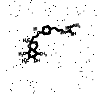 Cc1c(C)c2c(c(C)c1O)CCC(C)(CCOc1ccc(CCCNC(=N)NN)cc1)O2.I